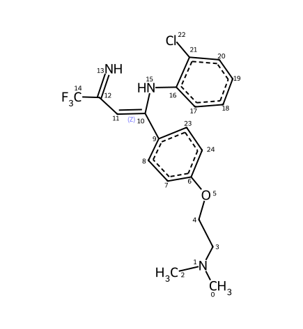 CN(C)CCOc1ccc(/C(=C/C(=N)C(F)(F)F)Nc2ccccc2Cl)cc1